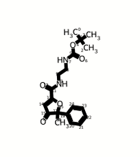 CC(C)(C)OC(=O)NCCNC(=O)C1=CC(=O)C(C)(c2ccccc2)O1